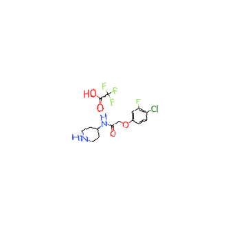 O=C(COc1ccc(Cl)c(F)c1)NC1CCNCC1.O=C(O)C(F)(F)F